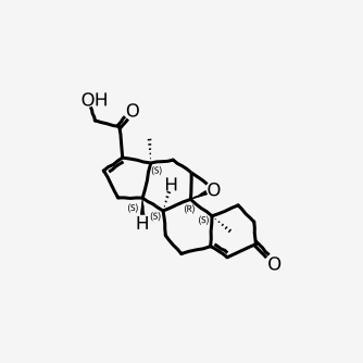 C[C@]12CCC(=O)C=C1CC[C@H]1[C@@H]3CC=C(C(=O)CO)[C@@]3(C)CC3O[C@]312